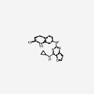 O=c1ccc2ccc(Nc3nc(NC4CC4)c4occc4n3)cc2[nH]1